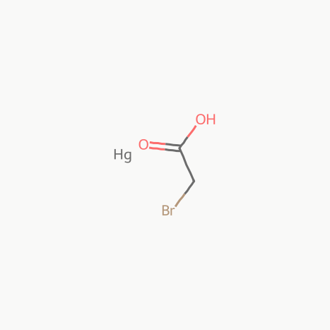 O=C(O)CBr.[Hg]